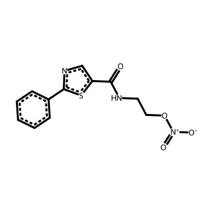 O=C(NCCO[N+](=O)[O-])c1cnc(-c2ccccc2)s1